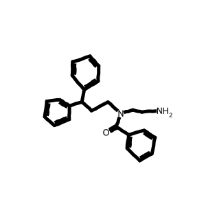 NCCN(CCC(c1ccccc1)c1ccccc1)C(=O)c1ccccc1